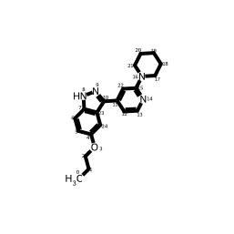 CCCOc1ccc2[nH]nc(-c3ccnc(N4CCCCC4)c3)c2c1